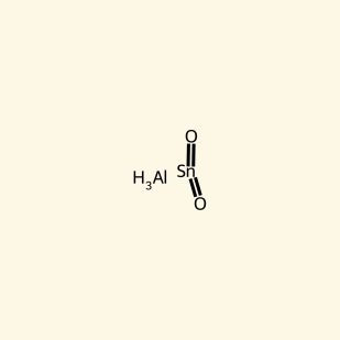 [AlH3].[O]=[Sn]=[O]